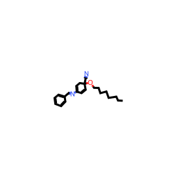 CCCCCCCCOC1(C#N)C=CC(N=Cc2ccccc2)=CC1